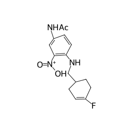 CC(=O)Nc1ccc(NCC2CC=C(F)CC2)c([N+](=O)O)c1